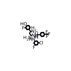 NC(CC(N)c1ccc(O)c(F)c1)N/C(=N\C(=O)c1ccc(C(F)(F)F)cc1)Nc1cc(F)cc(Cl)c1